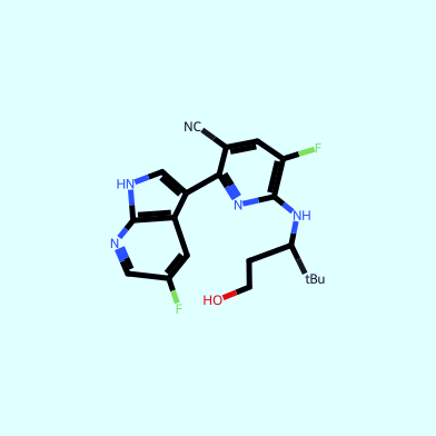 CC(C)(C)C(CCO)Nc1nc(-c2c[nH]c3ncc(F)cc23)c(C#N)cc1F